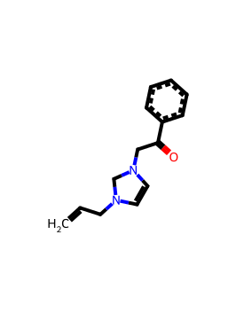 C=CCN1C=CN(CC(=O)c2ccccc2)C1